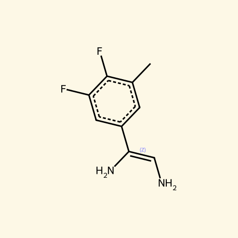 Cc1cc(/C(N)=C/N)cc(F)c1F